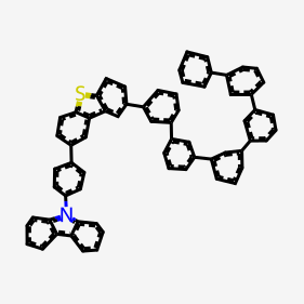 c1ccc(-c2cccc(-c3cccc(-c4cccc(-c5cccc(-c6cccc(-c7ccc8sc9ccc(-c%10ccc(-n%11c%12ccccc%12c%12ccccc%12%11)cc%10)cc9c8c7)c6)c5)c4)c3)c2)cc1